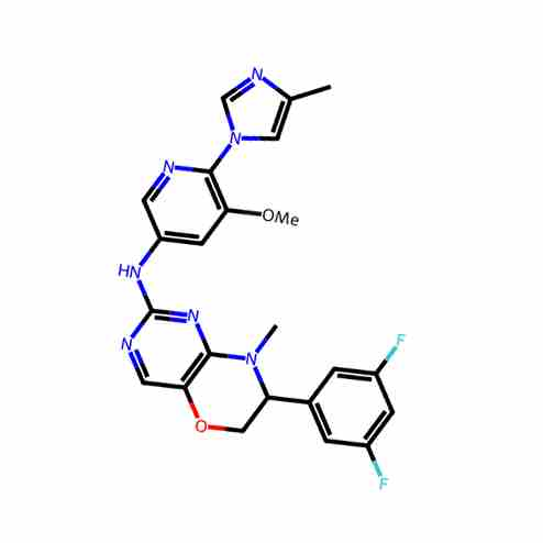 COc1cc(Nc2ncc3c(n2)N(C)C(c2cc(F)cc(F)c2)CO3)cnc1-n1cnc(C)c1